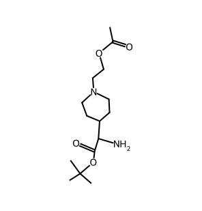 CC(=O)OCCN1CCC(C(N)C(=O)OC(C)(C)C)CC1